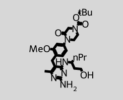 CCCC(CCO)Nc1nc(N)nc(C)c1Cc1ccc(N2CCN(C(=O)OC(C)(C)C)CC2=O)cc1OC